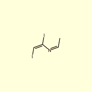 C/C=N\C(I)=C/I